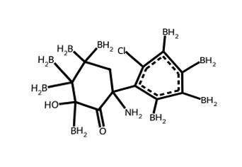 Bc1c(B)c(B)c(C2(N)CC(B)(B)C(B)(B)C(B)(O)C2=O)c(Cl)c1B